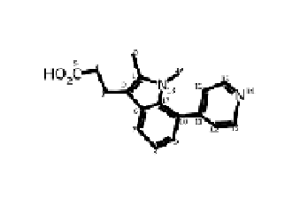 Cc1c(CCC(=O)O)c2cccc(-c3ccncc3)c2n1C